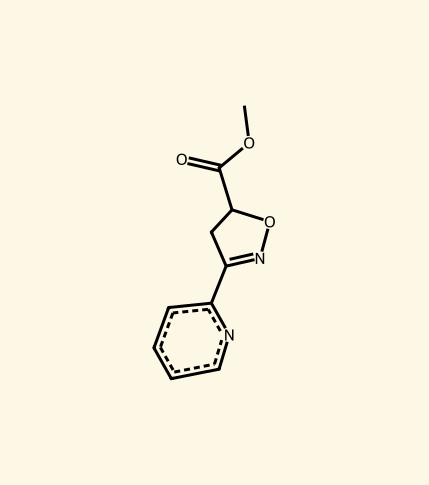 COC(=O)C1CC(c2ccccn2)=NO1